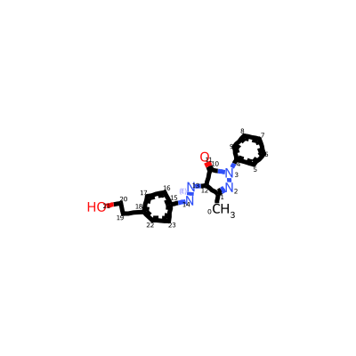 CC1=NN(c2ccccc2)C(=O)C1/N=N/c1ccc(CCO)cc1